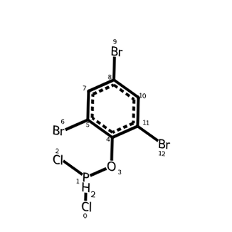 Cl[PH2](Cl)Oc1c(Br)cc(Br)cc1Br